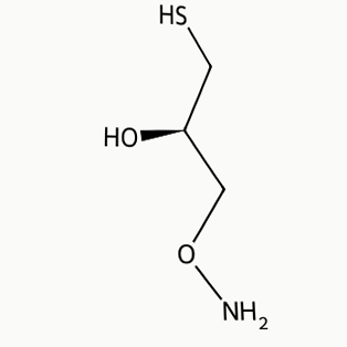 NOC[C@@H](O)CS